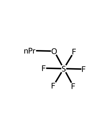 CCCOS(F)(F)(F)(F)F